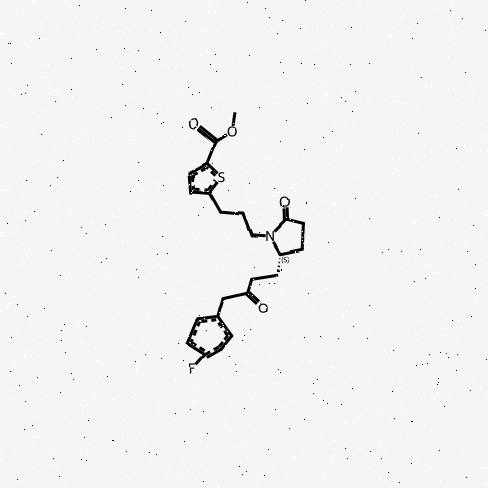 COC(=O)c1ccc(CCCN2C(=O)CC[C@@H]2CCC(=O)Cc2ccc(F)cc2)s1